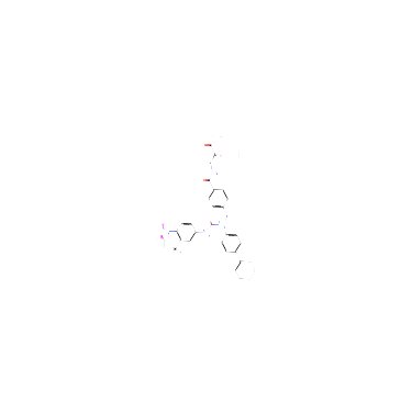 O=C(NC[C@@H](O)C(=O)O)c1ccc(CN(C(=O)Nc2ccc([N+](=O)[O-])c(C(F)(F)F)c2)c2ccc(C3=CCCCC3)cc2)cc1